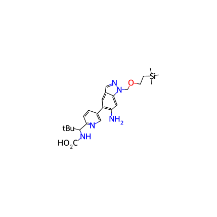 CC(C)(C)C(NC(=O)O)c1ccc(-c2cc3cnn(COCC[Si](C)(C)C)c3cc2N)cn1